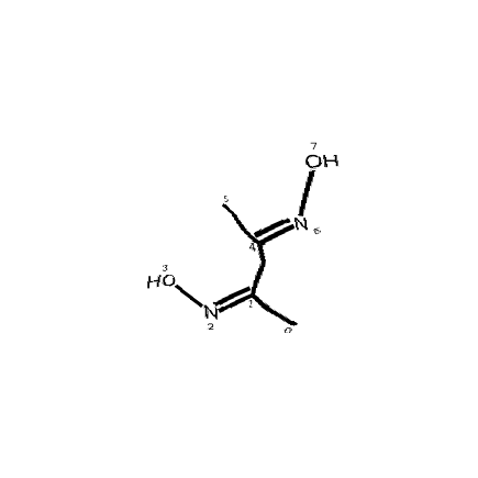 CC(=NO)C(C)=NO